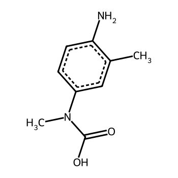 Cc1cc(N(C)C(=O)O)ccc1N